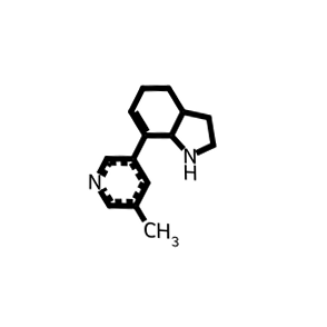 Cc1cncc(C2=CCCC3CCNC23)c1